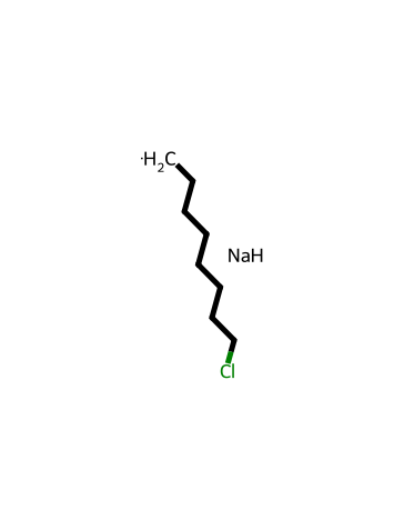 [CH2]CCCCCCCCl.[NaH]